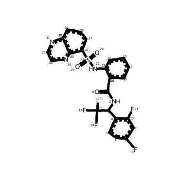 O=C(NC(c1ccc(F)cc1F)C(F)(F)F)c1ccccc1NS(=O)(=O)c1cccc2nccnc12